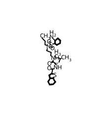 CCCCN(CCCNC(=O)[C@H](CC(C)C)NC(=O)c1cc2ccccc2s1)S(=O)(=O)c1ccccc1N